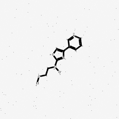 CCOCC[S+]([O-])c1nc(-c2cccnc2)cs1